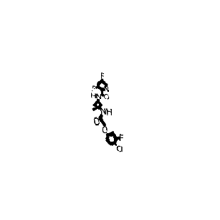 CC1(NC(=O)COc2ccc(Cl)c(F)c2)CC(NC(=O)c2ncc(F)cc2F)C1